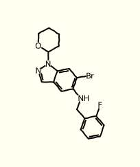 Fc1ccccc1CNc1cc2cnn(C3CCCCO3)c2cc1Br